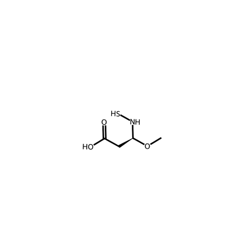 CO[C@@H](CC(=O)O)NS